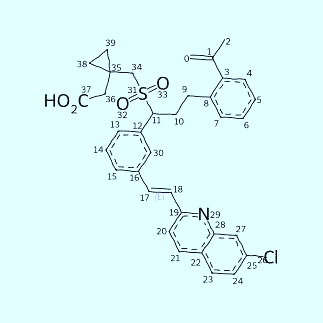 C=C(C)c1ccccc1CCC(c1cccc(/C=C/c2ccc3ccc(Cl)cc3n2)c1)S(=O)(=O)CC1(CC(=O)O)CC1